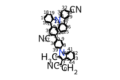 C=C(C#N)c1c(C)n(-c2ccc(-c3ccc(-c4ccccc4-n4c5ccccc5c5cc(C#N)ccc54)cc3C#N)cc2)c2ccccc12